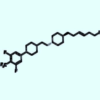 FCC/C=C/CC[C@H]1CC[C@H](CCC2CCC(c3cc(F)c(C(F)(F)F)c(F)c3)CC2)CC1